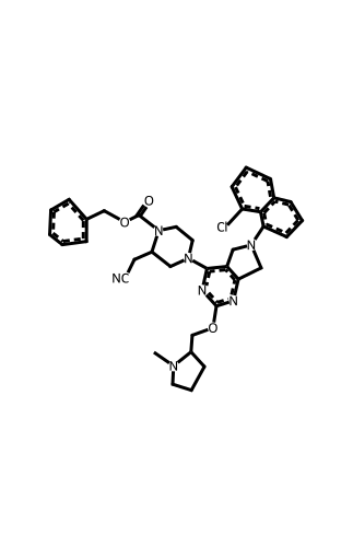 CN1CCCC1COc1nc2c(c(N3CCN(C(=O)OCc4ccccc4)C(CC#N)C3)n1)CN(c1cccc3cccc(Cl)c13)C2